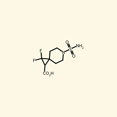 NS(=O)(=O)N1CCC2(CC1)C(C(=O)O)C2(F)F